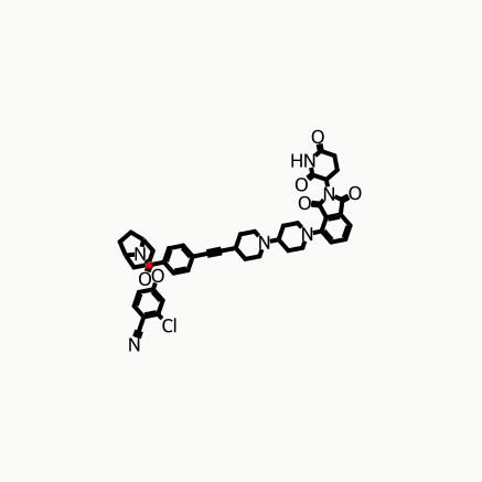 N#Cc1ccc(OC2CC3CCC(C2)N3C(=O)c2ccc(C#CC3CCN(C4CCN(c5cccc6c5C(=O)N(C5CCC(=O)NC5=O)C6=O)CC4)CC3)cc2)cc1Cl